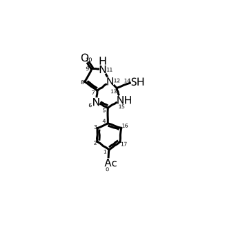 CC(=O)c1ccc(C2=Nc3cc(=O)[nH]n3C(S)N2)cc1